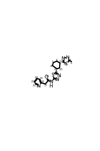 Cc1nnc([C@H]2CCC[C@H](c3nnc(NC(=O)Cc4ccccn4)s3)C2)s1